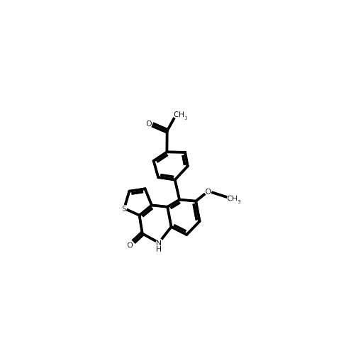 COc1ccc2[nH]c(=O)c3sccc3c2c1-c1ccc(C(C)=O)cc1